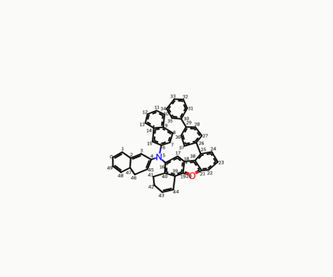 C1=CC2=CC(N(c3ccc4ccccc4c3)c3cc4c(oc5cccc(-c6ccc(-c7ccccc7)cc6)c54)c4c3CCC=C4)=CCC2C=C1